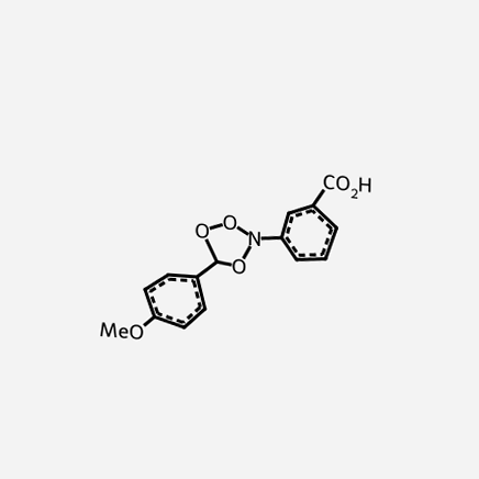 COc1ccc(C2OON(c3cccc(C(=O)O)c3)O2)cc1